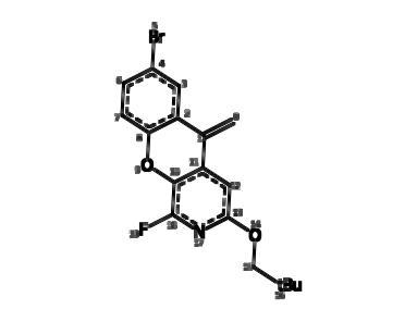 C=C1c2cc(Br)ccc2Oc2c1cc(OCC(C)(C)C)nc2F